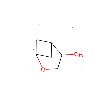 OC1COC2CC1C2